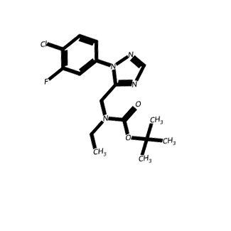 CCN(Cc1ncnn1-c1ccc(Cl)c(F)c1)C(=O)OC(C)(C)C